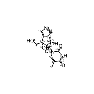 Cc1cn([C@@H]2O[C@]3(CO)c4cnnn4[C@H]2C3O)c(=O)[nH]c1=O